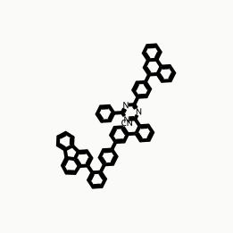 N#Cc1ccc(-c2ccc(-c3ccccc3-c3ccc4c5c(cccc35)-c3ccccc3-4)cc2)cc1-c1ccccc1-c1nc(-c2ccccc2)nc(-c2ccc(-c3cc4ccccc4c4ccccc34)cc2)n1